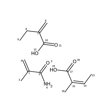 C=C(C)C(N)=O.C=C(CC)C(=O)O.CC=C(C)C(=O)O